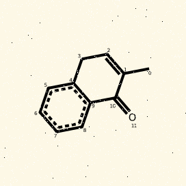 CC1=CCc2ccccc2C1=O